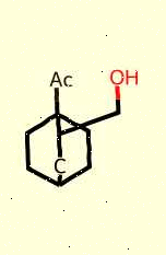 CC(=O)C12CCC(CC1)CC2CO